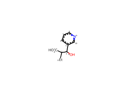 CCC(C(=O)O)C(O)c1cccnc1